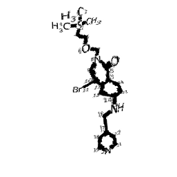 CS(C)(C)CCOCn1cc(Br)c2cc(NCc3ccncc3)ccc2c1=O